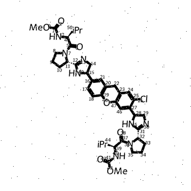 COC(=O)N[C@H](C(=O)N1CCC[C@H]1C1=NCC(c2ccc3c(c2)Cc2cc(Cl)c(C4CN=C([C@@H]5CCCN5C(=O)[C@@H](NC(=O)OC)C(C)C)N4)cc2O3)N1)C(C)C